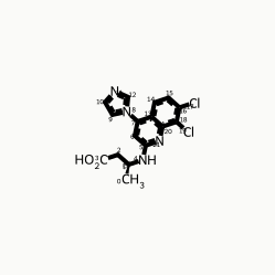 C[C@@H](CC(=O)O)Nc1cc(-n2ccnc2)c2ccc(Cl)c(Cl)c2n1